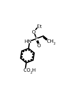 C=CP(=O)(Nc1ccc(C(=O)O)cc1)OCC